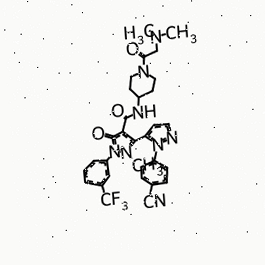 CN(C)CC(=O)N1CCC(NC(=O)c2c(-c3ccnn3-c3ccc(C#N)cc3)n(C)n(-c3cccc(C(F)(F)F)c3)c2=O)CC1